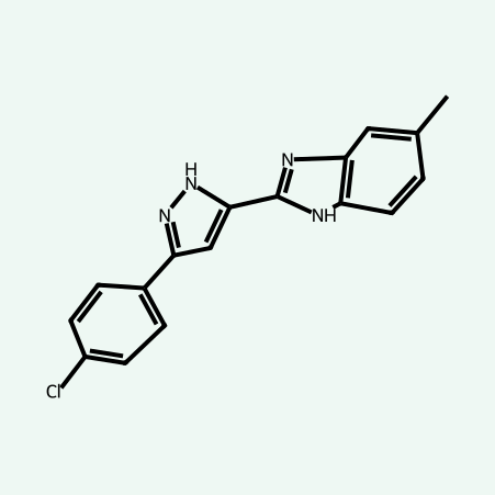 Cc1ccc2[nH]c(-c3cc(-c4ccc(Cl)cc4)n[nH]3)nc2c1